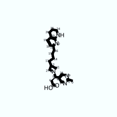 Cc1ncc([C@@H](CC(=O)O)N2CC(CCCCc3ccc4c(n3)NCCC4)C2)cn1